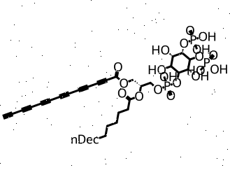 C#CC#CC#CC#CC#CC#CC(=O)OC[C@H](COP(=O)(O)OC1C(O)[C@H](O)[C@H](OP(=O)(O)O)C(OP(=O)(O)O)[C@@H]1O)OC(=O)CCCCCCCCCCCCCCC